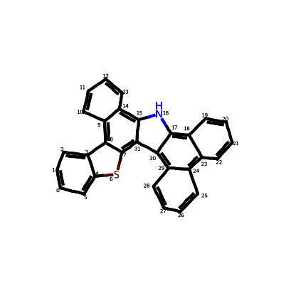 c1ccc2c(c1)sc1c2c2ccccc2c2[nH]c3c4ccccc4c4ccccc4c3c21